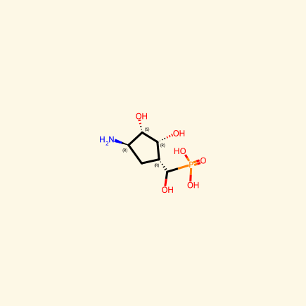 N[C@@H]1C[C@@H](C(O)P(=O)(O)O)[C@@H](O)[C@H]1O